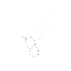 O=C(O)N1CCC(Nc2cc(=O)oc3ccccc23)CC1